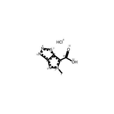 Cl.Cn1nc2nnsc2c1C(=O)O